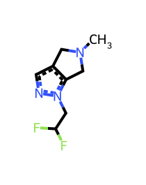 CN1Cc2cnn(CC(F)F)c2C1